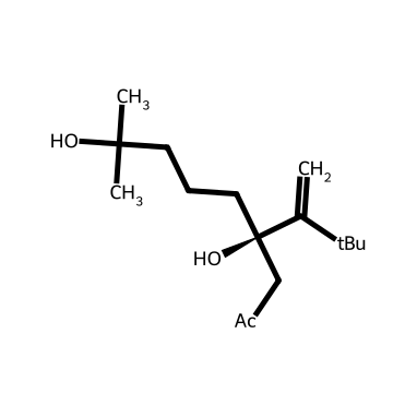 C=C(C(C)(C)C)[C@@](O)(CCCC(C)(C)O)CC(C)=O